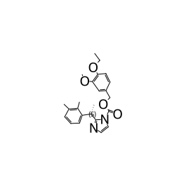 CCOc1ccc(COC(=O)n2ccnc2[C@@H](C)c2cccc(C)c2C)cc1OC